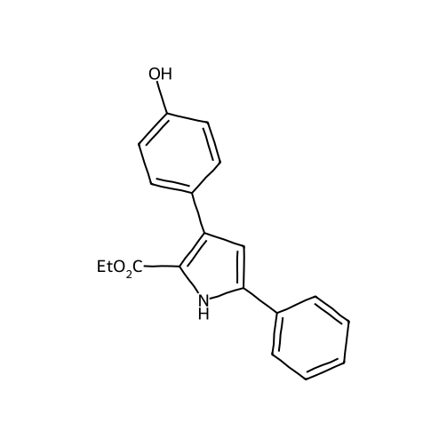 CCOC(=O)c1[nH]c(-c2ccccc2)cc1-c1ccc(O)cc1